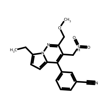 CCc1ccc2c(-c3cccc(C#N)c3)c(C[SH](=O)=O)c(COC)nn12